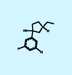 CC[N+]1([O-])CCC(O)(c2cc(F)cc(Cl)c2)C1